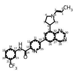 CC=CN1CCC(c2cc(-c3ccc(C(=O)Nc4cccc(C(F)(F)F)c4)nc3)cc3cncnc23)C1